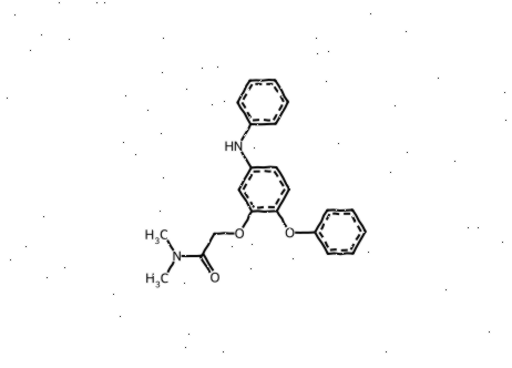 CN(C)C(=O)COc1cc(Nc2ccccc2)ccc1Oc1ccccc1